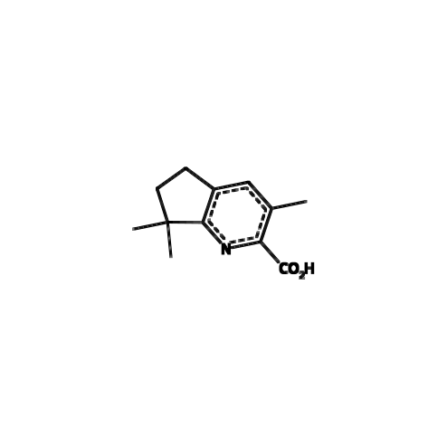 Cc1cc2c(nc1C(=O)O)C(C)(C)CC2